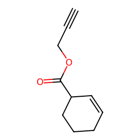 C#CCOC(=O)C1C=CCCC1